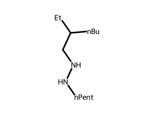 CCCCCNNCC(CC)CCCC